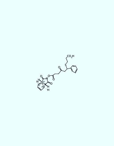 O=C(O)CCSC(CC(=O)CCC(=O)ON1C(=O)[C@@H]2[C@H](C1=O)[C@H]1C=C[C@@H]2C1)c1ccccc1